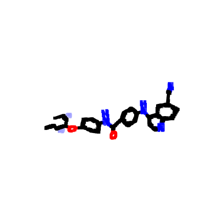 C=C/C=C(\C=C/C)Oc1ccc(NC(=O)c2ccc(Nc3ccnc4ccc(C#N)cc34)cc2)cc1